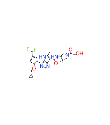 Cc1[nH]c2c(-c3cc(C(F)F)ccc3OCC3CC3)ncnc2c1C(=O)N[C@@H]1CN(C(=O)CO)CC1(C)C